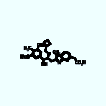 COc1cc(C(O)C(Cc2nc3cc(CC(=O)O)ccc3n2C)OCC2CCC2)cc(OC)c1C